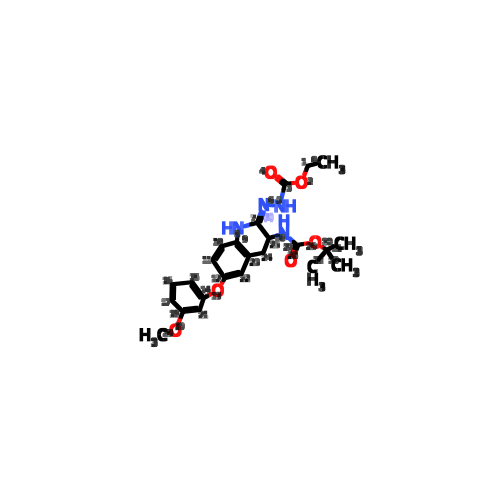 CCOC(=O)N/N=C1/Nc2ccc(Oc3cccc(OC)c3)cc2CC1NC(=O)OC(C)(C)C